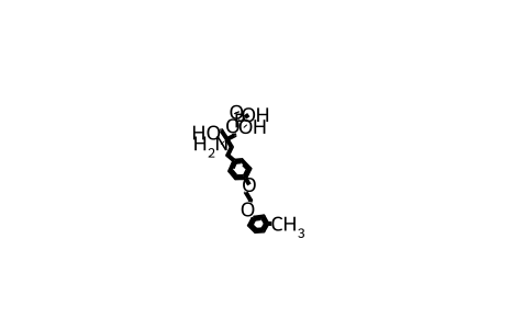 Cc1cccc(OCCOc2ccc(CC[C@@](N)(CO)COP(=O)(O)O)cc2)c1